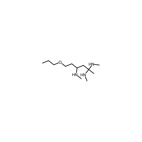 CCCOCCC(CC(C)(NC)NC)NC